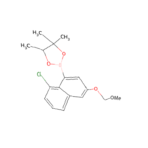 COCOc1cc(B2OC(C)C(C)(C)O2)c2c(Cl)cccc2c1